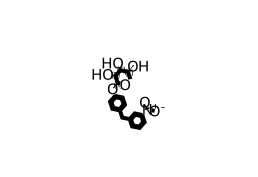 O=[N+]([O-])c1cccc(Cc2ccc(O[C@H]3OC[C@@H](O)[C@H](O)[C@H]3O)cc2)c1